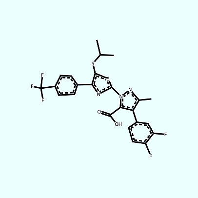 Cc1nn(-c2nc(-c3ccc(C(F)(F)F)cc3)c(SC(C)C)s2)c(C(=O)O)c1-c1ccc(F)c(F)c1